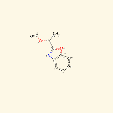 CC(OC=O)c1nc2ccccc2o1